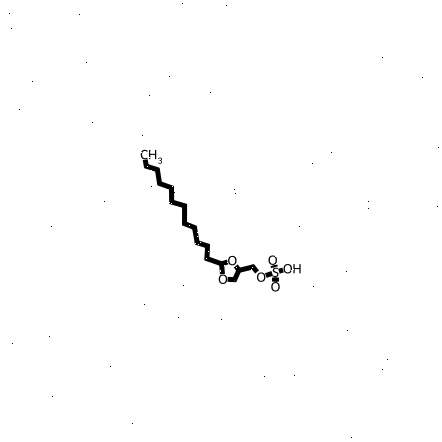 CCCCCCCCCCCCC1OCC(COS(=O)(=O)O)O1